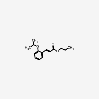 CCCOC(=O)/C=C/c1ccccc1OC(C)C